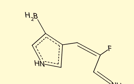 Bc1c[nH]cc1/C=C(/F)C=N